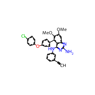 C#Cc1cccc(Nc2nc(N)nc3cc(OC)c(OC)c(-c4ccc(Oc5ccc(Cl)cc5)cc4)c23)c1